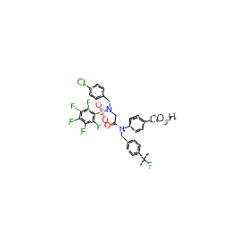 CC(C)(F)c1ccc(CN(C(=O)CN(Cc2ccc(Cl)cc2)S(=O)(=O)c2c(F)c(F)c(F)c(F)c2F)c2ccc(C(=O)O)cc2)cc1